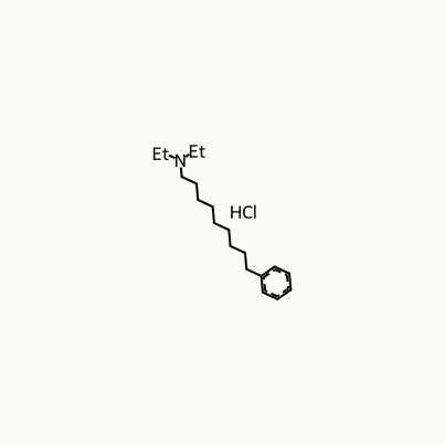 CCN(CC)CCCCCCCCCc1ccccc1.Cl